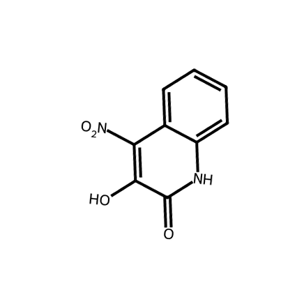 O=c1[nH]c2ccccc2c([N+](=O)[O-])c1O